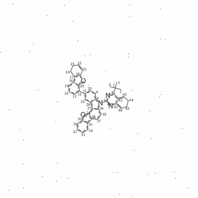 CC(C)(C)c1nc(-n2c3ccc(-c4cccc5c6c(oc45)C=CCC6)cc3c3c4oc5ccccc5c4ccc32)nc2c1=CCCC=2